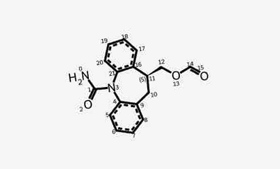 NC(=O)N1c2ccccc2C[C@H](COC=O)c2ccccc21